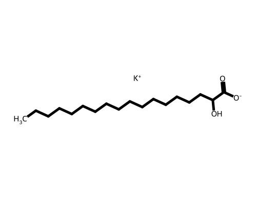 CCCCCCCCCCCCCCCCC(O)C(=O)[O-].[K+]